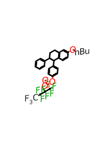 CCCCOc1ccc2c(c1)CCC(c1ccccc1)C2c1ccc(OS(=O)(=O)C(F)(F)C(F)(F)C(F)(F)C(F)(F)F)cc1